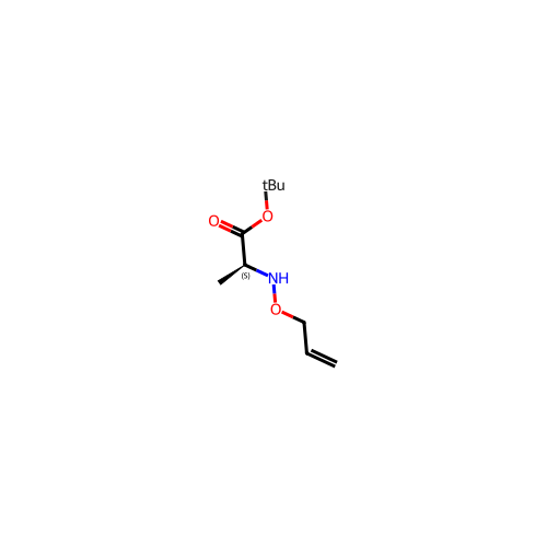 C=CCON[C@@H](C)C(=O)OC(C)(C)C